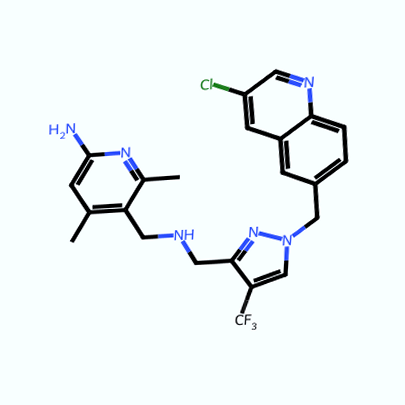 Cc1cc(N)nc(C)c1CNCc1nn(Cc2ccc3ncc(Cl)cc3c2)cc1C(F)(F)F